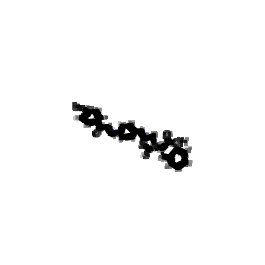 O=C(/C=C/c1ccc(/C=C2/CN([C@@H](Cc3ccccc3)C(=O)O)C(=S)S2)cc1)c1ccc(Br)cc1